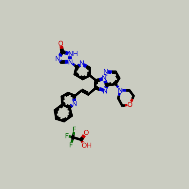 O=C(O)C(F)(F)F.O=c1ncn(-c2ccc(-c3c(C=Cc4ccc5ccccc5n4)nc4c(N5CCOCC5)ccnn34)cn2)[nH]1